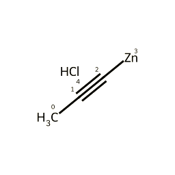 CC#[C][Zn].Cl